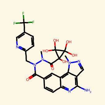 CN(C(=O)C1(O)C(O)(O)C1(O)O)N(Cc1ccc(C(F)(F)F)cn1)C(=O)c1ccc2nc(N)c3cnn(C)c3c2c1